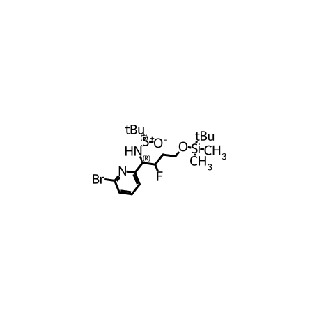 CC(C)(C)[S@@+]([O-])N[C@H](c1cccc(Br)n1)C(F)CCO[Si](C)(C)C(C)(C)C